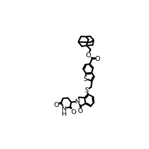 O=C1CCC(N2Cc3c(SCc4cc5cc(C(=O)OCC67CC8CC(CC(C8)C6)C7)ccc5s4)cccc3C2=O)C(=O)N1